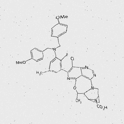 COc1ccc(CN(Cc2ccc(OC)cc2)c2cc(C)cc(-c3nc4c5c(ncnc5c3Cl)N3CC5CCC(C3C(C)O4)N5C(=O)O)c2F)cc1